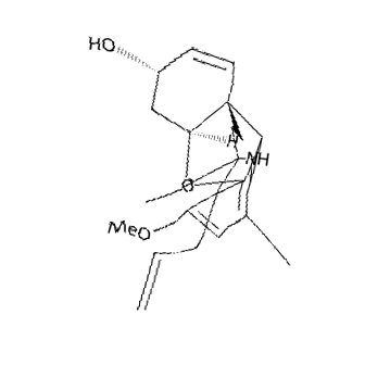 C=CCC1(C)CC[C@]23C=C[C@@H](O)C[C@@H]2OC2C(OC)=CC(C)=C(N1)C23